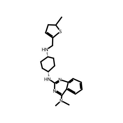 CC1CC=C(CN[C@H]2CC[C@@H](Nc3nc(N(C)C)c4ccccc4n3)CC2)S1